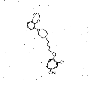 N#Cc1ccc(OCCCCN2CCN(c3cccc4c3OCCO4)CC2)c(Cl)c1